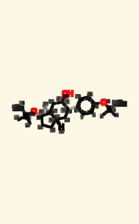 CC(C)(C)[Si](C)(C)Oc1ccc([C@@H]2C[C@@H]3CC[C@H](O[Si](C)(C)C(C)(C)C)[C@@]3(C)C[C@H]2O)cc1